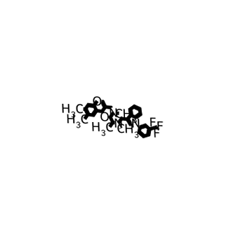 Cc1cc2occ(CN(C)CC(C)N(C)Cc3cn(-c4cccc(C(F)(F)F)c4)c4ccccc34)c(=O)c2cc1C